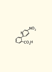 O=C(O)c1ccccc1-c1ccc([N+](=O)[O-])cn1